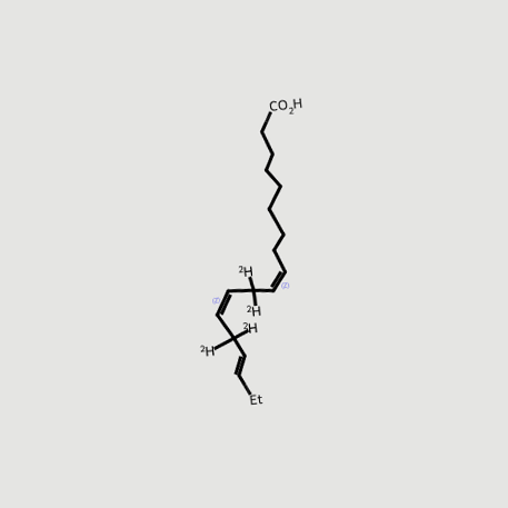 [2H]C([2H])(C=CCC)/C=C\C([2H])([2H])/C=C\CCCCCCCC(=O)O